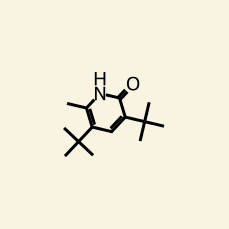 Cc1[nH]c(=O)c(C(C)(C)C)cc1C(C)(C)C